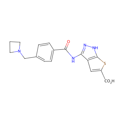 O=C(Nc1n[nH]c2sc(C(=O)O)cc12)c1ccc(CN2CCC2)cc1